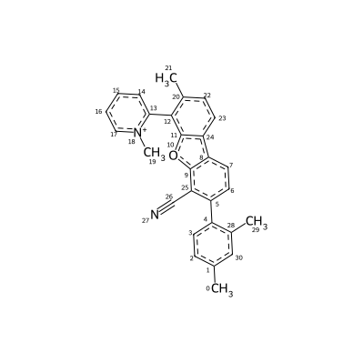 Cc1ccc(-c2ccc3c(oc4c(-c5cccc[n+]5C)c(C)ccc43)c2C#N)c(C)c1